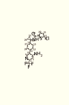 Nc1cc(C(F)(F)F)ncc1-c1ccc(C2(NC(=O)c3ccc(Cl)s3)CC2)cc1